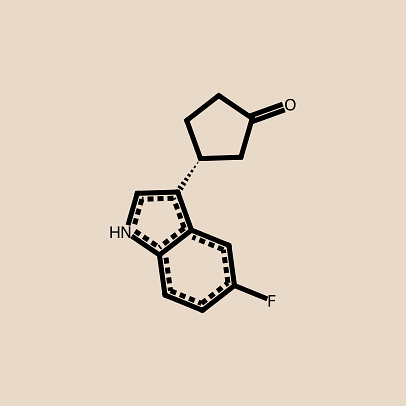 O=C1CC[C@@H](c2c[nH]c3ccc(F)cc23)C1